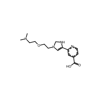 CN(C)CCOCCN1C=C(c2cc(C(=O)O)ccn2)NC1